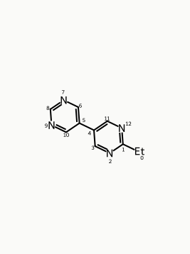 CCc1ncc(-c2cncnc2)cn1